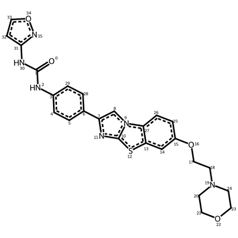 O=C(Nc1ccc(-c2cn3c(n2)sc2cc(OCCN4CCOCC4)ccc23)cc1)Nc1ccon1